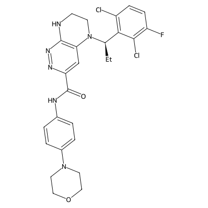 CC[C@H](c1c(Cl)ccc(F)c1Cl)N1CCNc2nnc(C(=O)Nc3ccc(N4CCOCC4)cc3)cc21